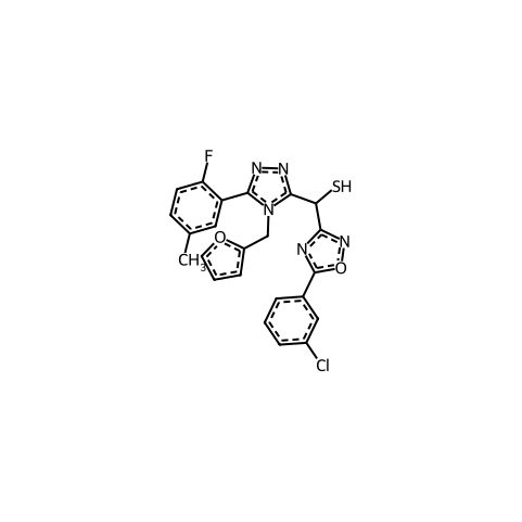 Cc1ccc(F)c(-c2nnc(C(S)c3noc(-c4cccc(Cl)c4)n3)n2Cc2ccco2)c1